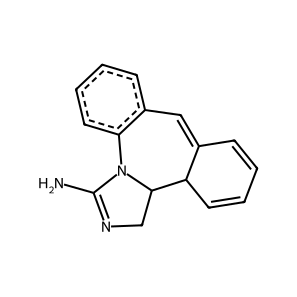 NC1=NCC2C3C=CC=CC3=Cc3ccccc3N12